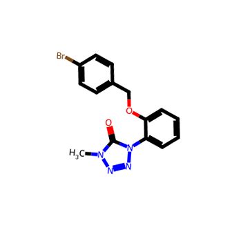 Cn1nnn(-c2ccccc2OCc2ccc(Br)cc2)c1=O